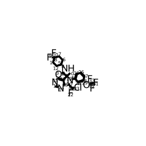 CC(C(=O)NC1CCC(F)(F)CC1)(c1cncnc1)N(C[C@H](F)Cl)c1cccc(OC(F)(F)F)c1